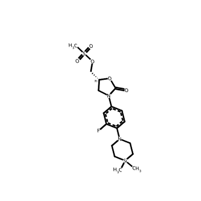 C[Si]1(C)CCN(c2ccc(N3C[C@H](COS(C)(=O)=O)OC3=O)cc2F)CC1